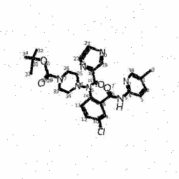 Cc1ccc(NC(=O)c2cc(Cl)ccc2N(C(=O)c2cnccn2)N2CCN(C(=O)OC(C)(C)C)CC2)nc1